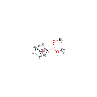 CCOB(OCC)c1cc2c(Br)c(c1)C2